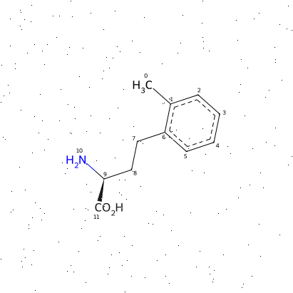 Cc1ccccc1CC[C@H](N)C(=O)O